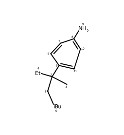 CCC(C)CC(C)(CC)c1ccc(N)cc1